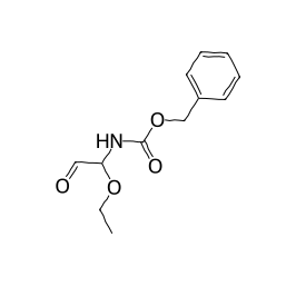 CCOC(C=O)NC(=O)OCc1ccccc1